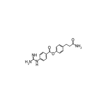 N=C(N)Nc1ccc(C(=O)Oc2ccc(CCC(N)=O)cc2)cc1